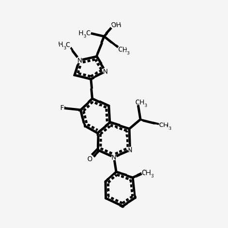 Cc1ccccc1-n1nc(C(C)C)c2cc(-c3cn(C)c(C(C)(C)O)n3)c(F)cc2c1=O